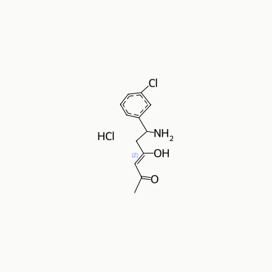 CC(=O)/C=C(\O)CC(N)c1cccc(Cl)c1.Cl